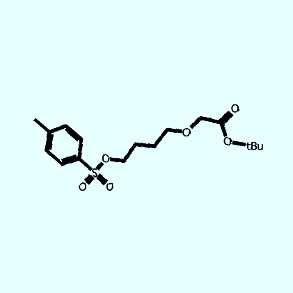 Cc1ccc(S(=O)(=O)OCCCCOCC(=O)OC(C)(C)C)cc1